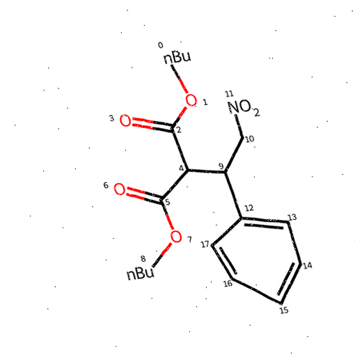 CCCCOC(=O)C(C(=O)OCCCC)C(C[N+](=O)[O-])c1ccccc1